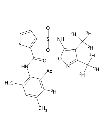 [2H]c1c(C)cc(C)c(NC(=O)c2sccc2S(=O)(=O)Nc2onc(C([2H])([2H])[2H])c2C([2H])([2H])[2H])c1C(C)=O